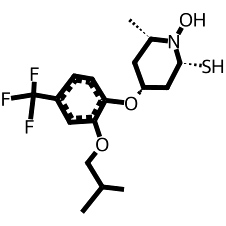 CC(C)COc1cc(C(F)(F)F)ccc1O[C@H]1C[C@@H](S)N(O)[C@@H](C)C1